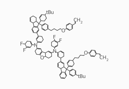 C=Cc1ccc(OCCCCc2ccc(C3(C4C=CC(C(C)(C)C)CC4)c4cc(C5=CC(N(C6=CCC(F)C(F)=C6)C6=CC7=C(CC6)OC6CCC(N(C8=CC(C9=CC%10C(C=C9)c9ccccc9C%10(C9=CCC(CCCCOc%10ccc(C=C)cc%10)C=C9)c9ccc(C(C)(C)C)cc9)CC=C8)C8=CC(F)=C(F)CC8)=CC76)=CCC5)ccc4C4C=CCCC43)cc2)cc1